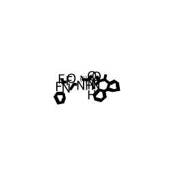 CC1C(=O)N(NC(=O)[C@H](C)NC(=O)CN(c2ccccc2)C(F)(F)F)c2ccccc2-c2ccccc21